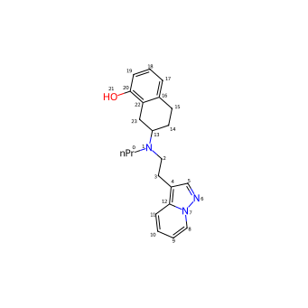 CCCN(CCc1cnn2ccccc12)C1CCc2cccc(O)c2C1